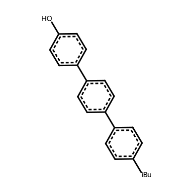 CCC(C)c1ccc(-c2ccc(-c3ccc(O)cc3)cc2)cc1